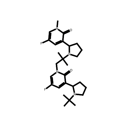 Cn1cc(F)cc(C2CCCN2C(C)(C)Cn2cc(F)cc(C3CCCN3C(C)(C)C)c2=O)c1=O